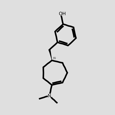 CN(C)C1=CCC[C@H](Cc2cccc(O)c2)CC1